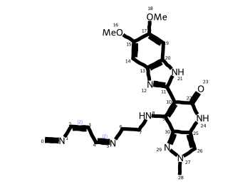 C=N/C=C\C=N/CCNc1c(-c2nc3cc(OC)c(OC)cc3[nH]2)c(=O)[nH]c2cn(C)nc12